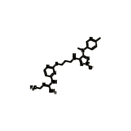 Cc1ccc(N(C)c2n[s+]([O-])nc2NCCCSc2nccc(NC(N)=NCC(F)(F)F)n2)cn1